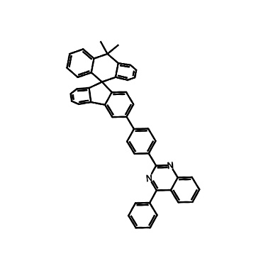 CC1(C)c2ccccc2C2(c3ccccc3-c3cc(-c4ccc(-c5nc(-c6ccccc6)c6ccccc6n5)cc4)ccc32)c2ccccc21